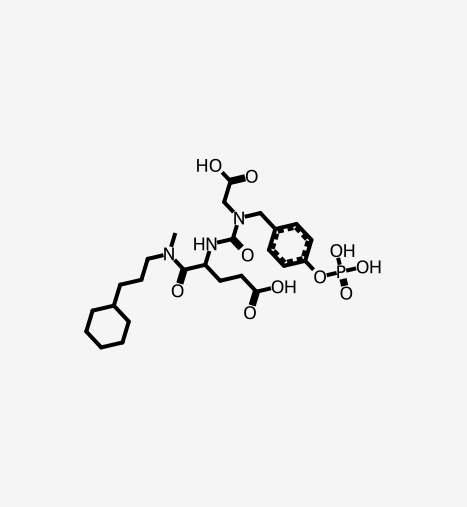 CN(CCCC1CCCCC1)C(=O)C(CCC(=O)O)NC(=O)N(CC(=O)O)Cc1ccc(OP(=O)(O)O)cc1